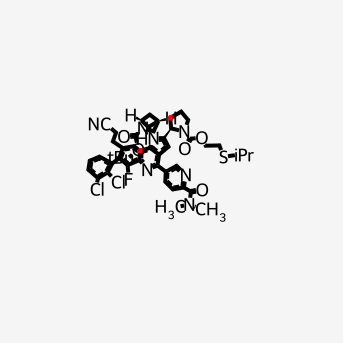 CC(C)SCCOC(=O)N1CCC[C@@H]1c1cc2c(-c3ccc(C(=O)N(C)C)nc3)nc3c(F)c(-c4cccc(Cl)c4Cl)c(CCC#N)cc3c2n1[C@H]1[C@@H]2C[C@H]1N(C(=O)OC(C)(C)C)C2